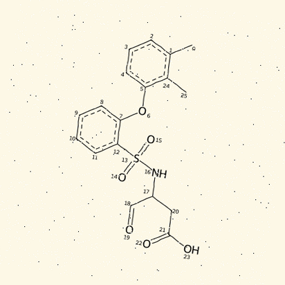 Cc1cccc(Oc2ccccc2S(=O)(=O)NC(C=O)CC(=O)O)c1C